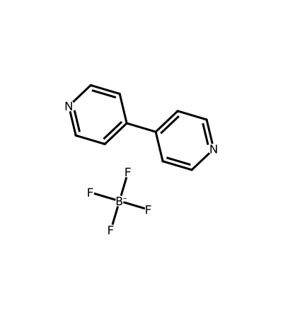 F[B-](F)(F)F.c1cc(-c2ccncc2)ccn1